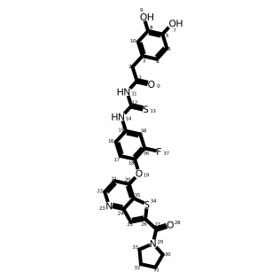 O=C(Cc1ccc(O)c(O)c1)NC(=S)Nc1ccc(Oc2ccnc3cc(C(=O)N4CCCC4)sc23)c(F)c1